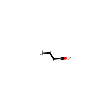 CCCCB=O